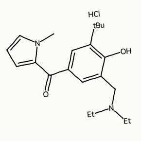 CCN(CC)Cc1cc(C(=O)c2cccn2C)cc(C(C)(C)C)c1O.Cl